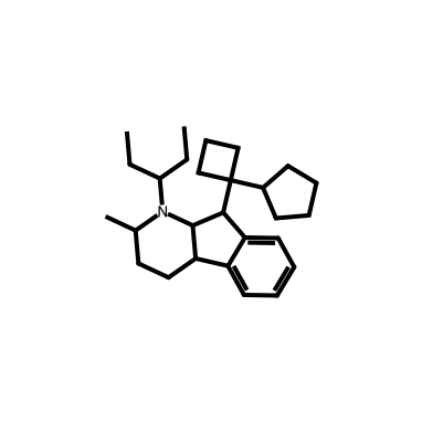 CCC(CC)N1C(C)CCC2c3ccccc3C(C3(C4CCCC4)CCC3)C21